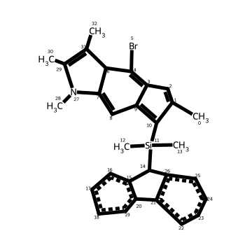 CC1=CC2=C(Br)C3C(=CC2=C1[Si](C)(C)C1c2ccccc2-c2ccccc21)N(C)C(C)=C3C